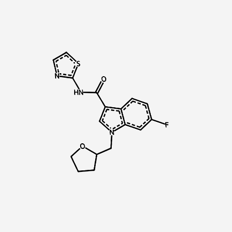 O=C(Nc1nccs1)c1cn(CC2CCCO2)c2cc(F)ccc12